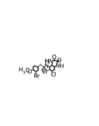 COc1ccc(CC(=O)Nc2c(Cl)c(Cl)cc3[nH]c(=O)c(=O)[nH]c23)cc1Br